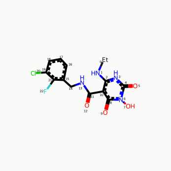 CCNc1[nH]c(=O)n(O)c(=O)c1C(=O)NCc1cccc(Cl)c1F